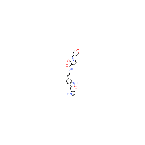 O=C1Nc2cc(C=CCNC(=O)c3cccn(CC4CCOCC4)c3=O)ccc2C1=Cc1ccc[nH]1